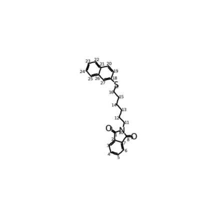 O=C1c2ccccc2C(=O)N1CCCCCCSc1ccc2ccccc2c1